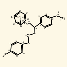 CCOc1ccc(C(COCc2ccc(F)cc2)C(F)(F)F)cc1.c1cc2cc(c1)O2